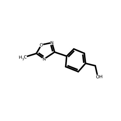 Cc1nc(-c2ccc(CO)cc2)no1